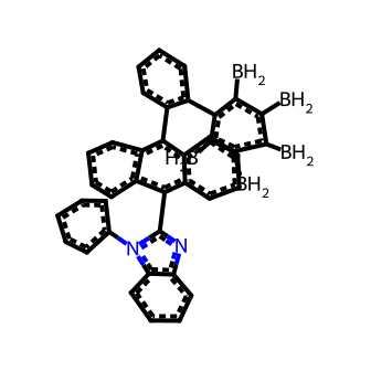 Bc1c(B)c(B)c(-c2ccccc2-c2c3ccccc3c(-c3nc4ccccc4n3-c3ccccc3)c3ccccc23)c(B)c1B